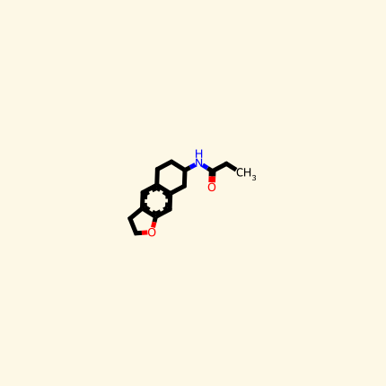 CCC(=O)NC1CCc2cc3c(cc2C1)OCC3